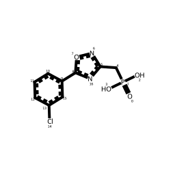 O=P(O)(O)Cc1noc(-c2cccc(Cl)c2)n1